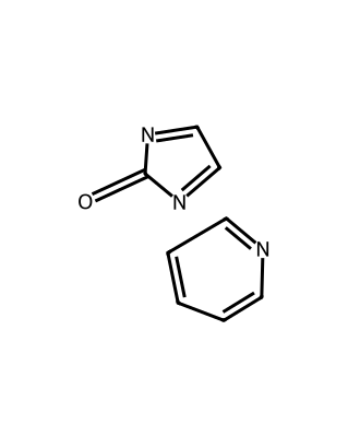 O=C1N=CC=N1.c1ccncc1